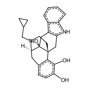 Oc1ccc2c(c1O)[C@]13CCN(CC4CC4)[C@H](C2)[C@]1(O)Cc1c([nH]c2ccccc12)C3